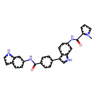 Cn1cccc1C(=O)Nc1ccc2c(-c3ccc(C(=O)Nc4ccc5cc[nH]c5c4)cc3)c[nH]c2c1